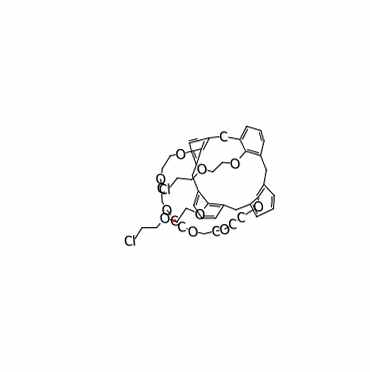 ClCCOCCOc1c2cccc1Cc1cccc3c1OCCOCCOCCOCCOCCOc1c(cccc1Cc1cccc(c1OCCOCCCl)C3)C2